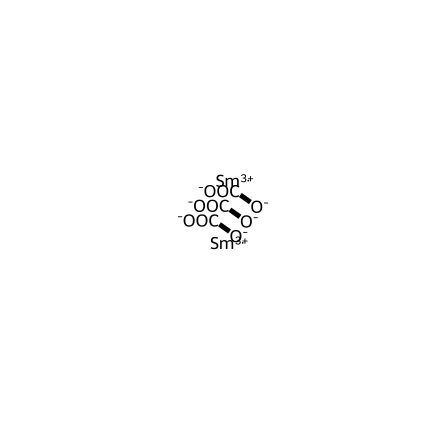 O=C([O-])[O-].O=C([O-])[O-].O=C([O-])[O-].[Sm+3].[Sm+3]